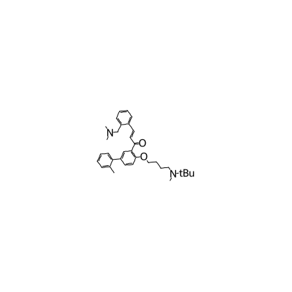 Cc1ccccc1-c1ccc(OCCCCN(C)C(C)(C)C)c(C(=O)C=Cc2ccccc2CN(C)C)c1